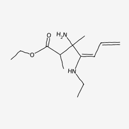 C=C/C=C(/NCC)C(C)(N)C(C)C(=O)OCC